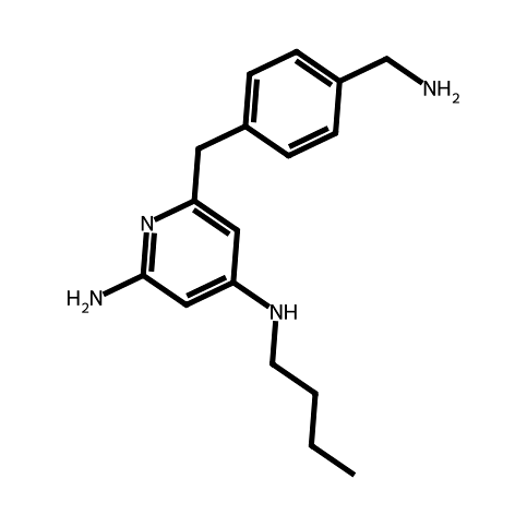 CCCCNc1cc(N)nc(Cc2ccc(CN)cc2)c1